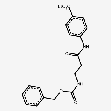 CCOC(=O)c1ccc(NC(=O)CCNC(=O)OCc2ccccc2)cc1